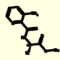 CC[C@H](NC(=O)c1ncccc1N)C(=O)OC(C)(C)C